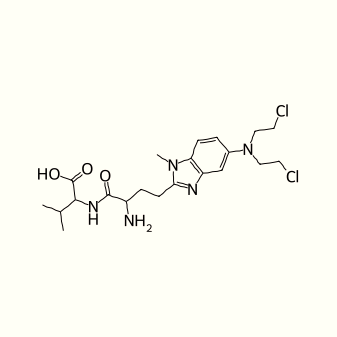 CC(C)C(NC(=O)C(N)CCc1nc2cc(N(CCCl)CCCl)ccc2n1C)C(=O)O